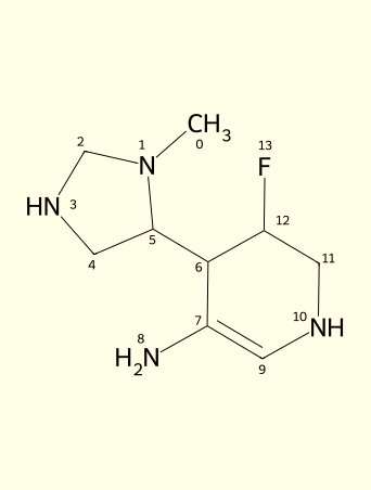 CN1CNCC1C1C(N)=CNCC1F